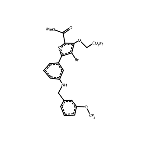 CCOC(=O)COc1c(C(=O)OC)sc(-c2cccc(NCc3cccc(OC(F)(F)F)c3)c2)c1Br